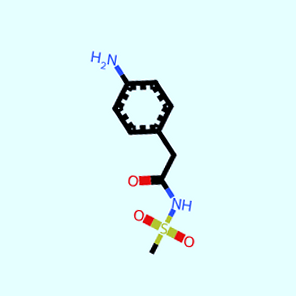 CS(=O)(=O)NC(=O)Cc1ccc(N)cc1